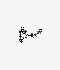 CC(C)CN(C(O)(CCNC(=O)CCCC(C)NC(=O)CNCc1ccccc1)Cc1ccccc1)S(=O)(=O)c1ccc2ncsc2c1